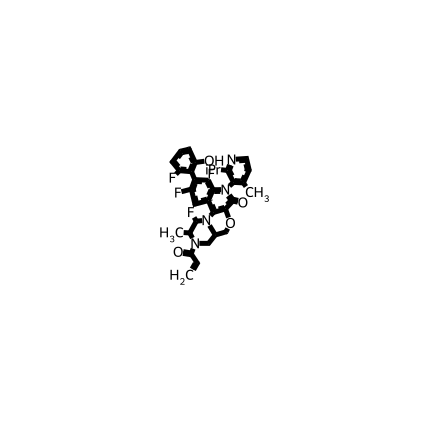 C=CC(=O)N1CC2COc3c(c4cc(F)c(-c5c(O)cccc5F)c(F)c4n(-c4c(C)ccnc4C(C)C)c3=O)N2C(F)C1C